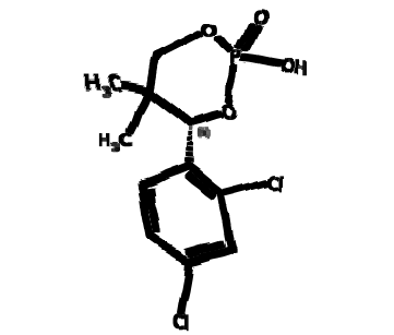 CC1(C)COP(=O)(O)O[C@@H]1c1ccc(Cl)cc1Cl